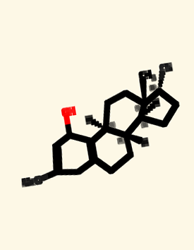 COC1=CC(O)C2=C(CC[C@@H]3[C@@H]2CC[C@]2(C)[C@H](C#N)CC[C@@H]32)C1